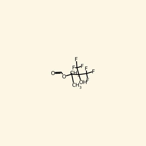 CC(C)(OC=O)C(O)(C(F)(F)F)C(F)(F)F